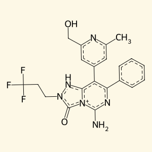 Cc1cc(-c2c(-c3ccccc3)nc(N)[n+]3c(=O)n(CCC(F)(F)F)[nH]c23)cc(CO)n1